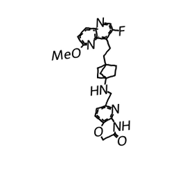 COc1ccc2ncc(F)c(CCC34CCC(NCc5ccc6c(n5)NC(=O)CO6)(CC3)C4)c2n1